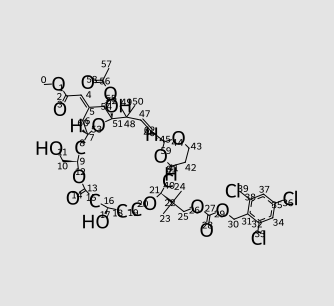 COC(=O)/C=C1\C[C@H]2C[C@H](CO)OC(=O)C[C@H](O)CCO[C@H](C(C)(C)COC(=O)OCc3c(Cl)cc(Cl)cc3Cl)C[C@@H]3CCO[C@H](/C=C/C(C)(C)[C@](O)(O2)[C@H]1OC(C)=O)O3